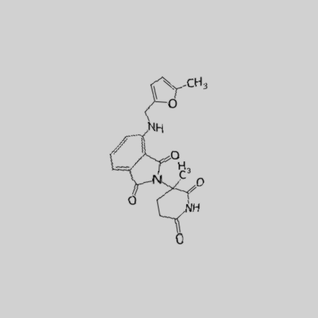 Cc1ccc(CNc2cccc3c2C(=O)N(C2(C)CCC(=O)NC2=O)C3=O)o1